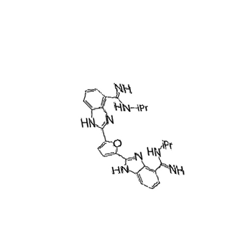 CC(C)NC(=N)c1cccc2[nH]c(-c3ccc(-c4nc5c(C(=N)NC(C)C)cccc5[nH]4)o3)nc12